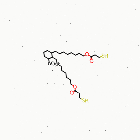 CCCCCCCCC1CCCC(CCCCCCCCOC(=O)CCS)C1CCCCCCCCOC(=O)CCS